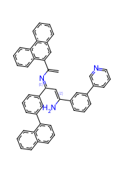 C=C(/N=C(\C=C(/N)c1cccc(-c2cccnc2)c1)c1cccc(-c2cccc3ccccc23)c1)c1cc2ccccc2c2ccccc12